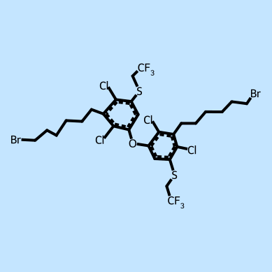 FC(F)(F)CSc1cc(Oc2cc(SCC(F)(F)F)c(Cl)c(CCCCCCBr)c2Cl)c(Cl)c(CCCCCCBr)c1Cl